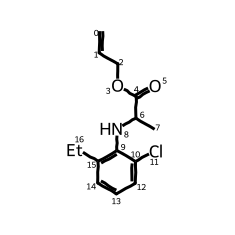 C=CCOC(=O)C(C)Nc1c(Cl)cccc1CC